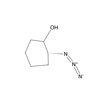 [N-]=[N+]=N[C@@H]1CCCCC1O